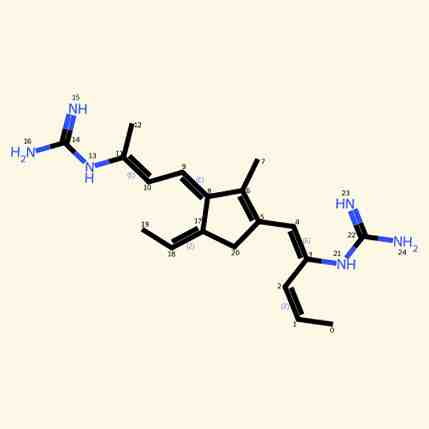 C/C=C\C(=C/C1=C(C)C(=C/C=C(\C)NC(=N)N)/C(=C\C)C1)NC(=N)N